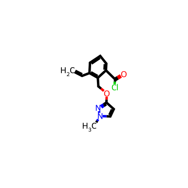 C=Cc1cccc(C(=O)Cl)c1COc1ccn(C)n1